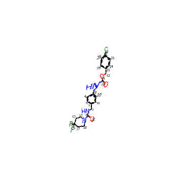 O=C(Nc1ccc(CNC(=O)N2CCC(F)(F)CC2)cc1)OCc1ccc(Cl)cc1